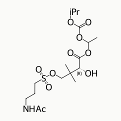 CC(=O)NCCCS(=O)(=O)OCC(C)(C)[C@@H](O)C(=O)OC(C)OC(=O)OC(C)C